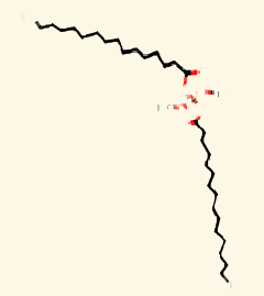 CC(C)CCCCCCCCCCCCCCC(=O)[O][Ti]([O]C(=O)CCCCCCCCCCCCCCC(C)C)([O]C(C)C)[O]C(C)C